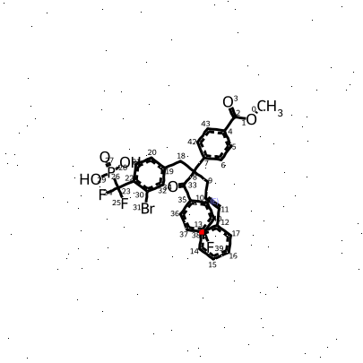 COC(=O)c1ccc(C(C/C=C/c2ccccc2)(Cc2ccc(C(F)(F)P(=O)(O)O)c(Br)c2)C(=O)c2ccc(F)cc2)cc1